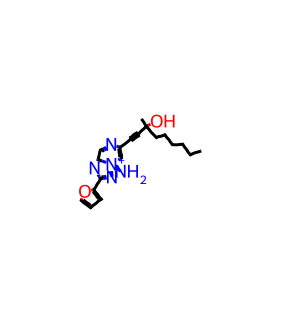 CCCCCCC(C)(O)C#CC1=C[N+]2(N)N=C(c3ccco3)N=C2C=N1